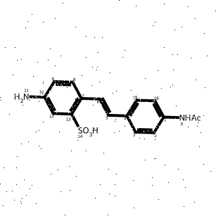 CC(=O)Nc1ccc(C=Cc2ccc(N)cc2S(=O)(=O)O)cc1